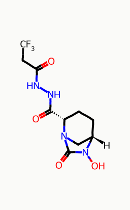 O=C(CC(F)(F)F)NNC(=O)[C@@H]1CC[C@H]2CN1C(=O)N2O